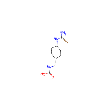 NC(=S)N[C@H]1CC[C@H](CNC(=O)O)CC1